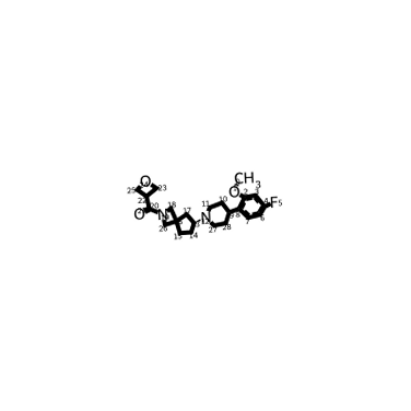 COc1cc(F)ccc1C1CCN([C@@H]2CCC3(C2)CN(C(=O)C2COC2)C3)CC1